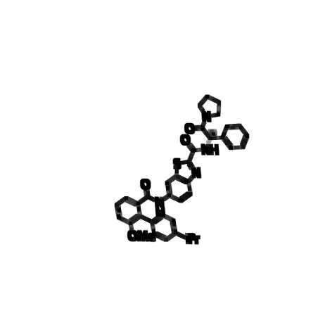 COc1cccc(C(=O)Nc2ccc3nc(C(=O)N[C@H](C(=O)N4CCCC4)c4ccccc4)sc3c2)c1-c1ccc(C(C)C)cc1